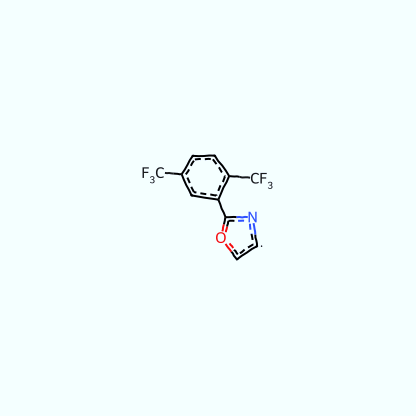 FC(F)(F)c1ccc(C(F)(F)F)c(-c2n[c]co2)c1